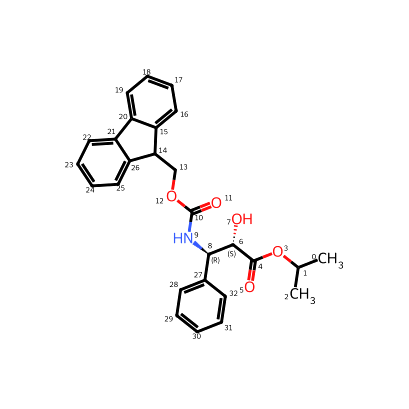 CC(C)OC(=O)[C@@H](O)[C@H](NC(=O)OCC1c2ccccc2-c2ccccc21)c1ccccc1